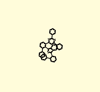 c1ccc(-c2cc(-c3cccc(-c4ccccc4)c3-c3sc(-c4ccccc4-c4ccccc4)c4ccccc34)nc(-c3ccccc3)n2)cc1